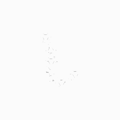 Cc1ccc(OCCc2ccc(CN3CCN(C(=O)/C=C/c4cc(Cl)c(Oc5ccc(OCc6ccccc6Cl)cn5)cc4C)CC3)cc2)cc1